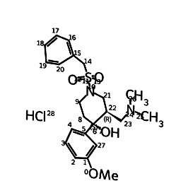 COc1cccc([C@]2(O)CCN(S(=O)(=O)Cc3ccccc3)C[C@H]2CN(C)C)c1.Cl